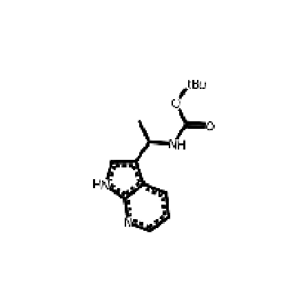 CC(NC(=O)OC(C)(C)C)c1c[nH]c2ncccc12